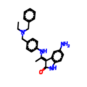 CCN(Cc1ccccc1)Cc1ccc(NC(C)=C2C(=O)Nc3ccc(N)cc32)cc1